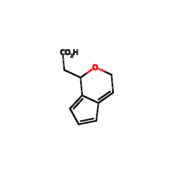 O=C(O)CC1OCC=C2C=CC=C21